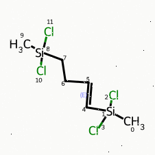 C[Si](Cl)(Cl)/C=C/CC[Si](C)(Cl)Cl